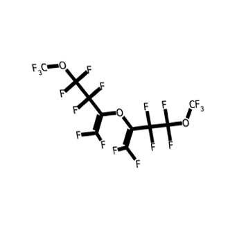 FC(F)=C(OC(=C(F)F)C(F)(F)C(F)(F)OC(F)(F)F)C(F)(F)C(F)(F)OC(F)(F)F